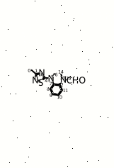 Cc1nsc(N(C)c2ccccc2N(C)C=O)n1